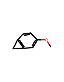 COc1ccc2c(c1)C2